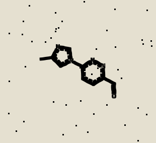 Cc1cn(-c2ccc(C=O)nn2)cn1